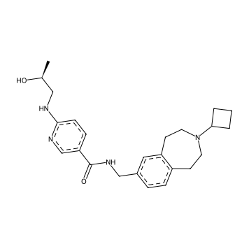 C[C@H](O)CNc1ccc(C(=O)NCc2ccc3c(c2)CCN(C2CCC2)CC3)cn1